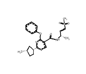 C[C@H]1CC[C@@H](c2ncc(C(=O)N[C@@H](C)/C=C/S(C)(=O)=O)c(Oc3ccccc3)n2)C1